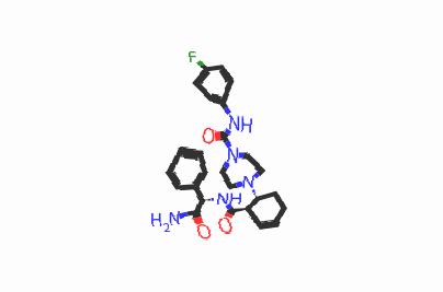 NC(=O)[C@@H](NC(=O)[C@@H]1CCCC[C@H]1N1CCN(C(=O)Nc2ccc(F)cc2)CC1)c1ccccc1